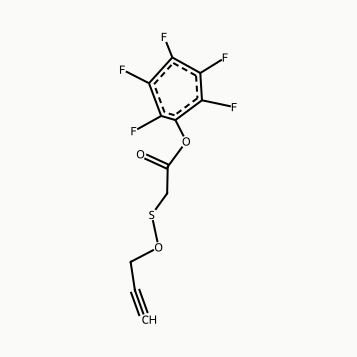 C#CCOSCC(=O)Oc1c(F)c(F)c(F)c(F)c1F